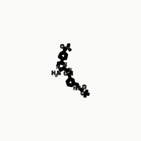 CN(C)C(=O)c1ccc(-c2cnc(N)c(-c3nnc(-c4cccc(CNC(=O)OC(C)(C)C)c4)o3)n2)cc1